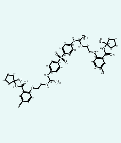 CCC1(OC(=O)c2cc(I)ccc2OCCOC(C)Oc2ccc(S(=O)(=O)c3ccc(OC(C)OCCOc4ccc(I)cc4C(=O)OC4(CC)CCCC4)cc3)cc2)CCCC1